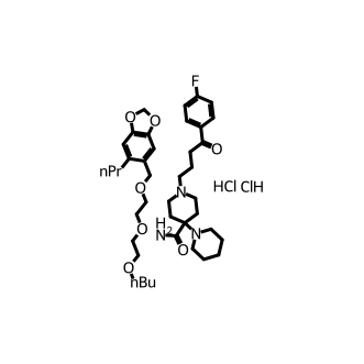 CCCCOCCOCCOCc1cc2c(cc1CCC)OCO2.Cl.Cl.NC(=O)C1(N2CCCCC2)CCN(CCCC(=O)c2ccc(F)cc2)CC1